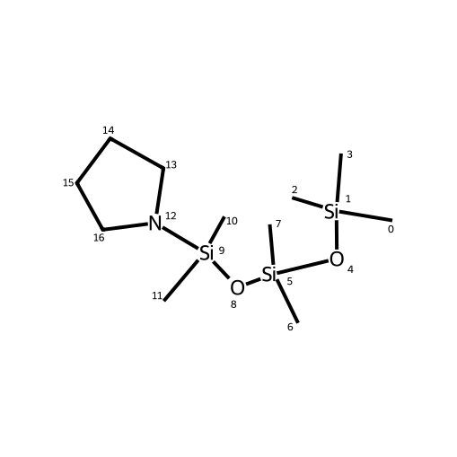 C[Si](C)(C)O[Si](C)(C)O[Si](C)(C)N1CCCC1